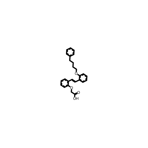 O=C(O)COc1ccccc1C=Cc1ccccc1OCCCCc1ccccc1